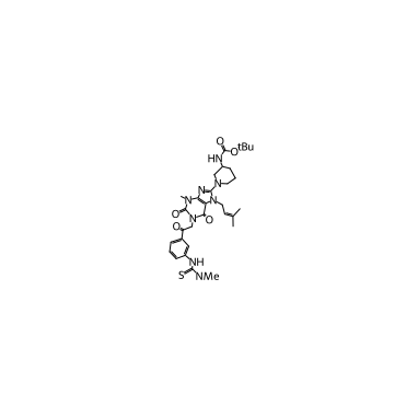 CNC(=S)Nc1cccc(C(=O)Cn2c(=O)c3c(nc(N4CCCC(NC(=O)OC(C)(C)C)C4)n3CC=C(C)C)n(C)c2=O)c1